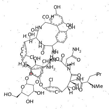 CN[C@H](CC(C)C)C(=O)N[C@H]1C(=O)N[C@@H](CC(N)=O)C(=O)N[C@H]2C(=O)N[C@H]3C(=O)N[C@H](C(=O)N[C@H](C(=O)O)c4cc(O)cc(O)c4-c4cc3ccc4O)[C@H](O)c3ccc(c(Cl)c3)Oc3cc2cc(c3OC2O[C@H](CO)[C@@H](O)[C@H](O)[C@H]2O[C@H]2C[C@](C)(N)[C@H](O)[C@H](C)O2)Oc2ccc(cc2Cl)[C@H]1O